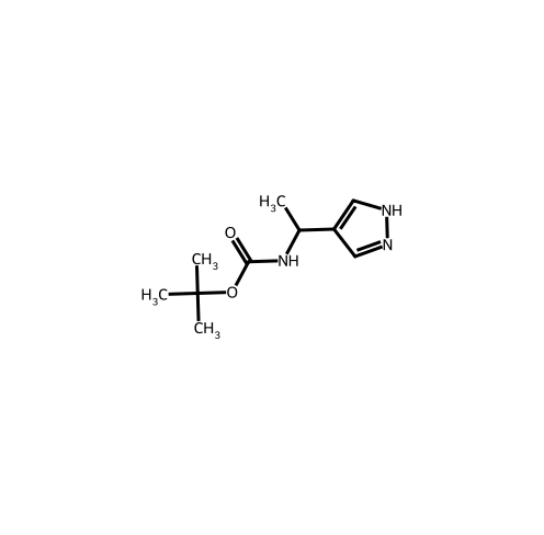 CC(NC(=O)OC(C)(C)C)c1cn[nH]c1